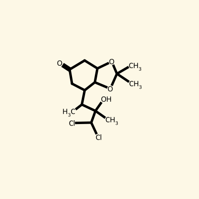 CC(C1CC(=O)CC2OC(C)(C)OC21)C(C)(O)C(Cl)Cl